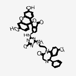 O=C1OC2(c3ccc(O)cc3Oc3cc(O)ccc32)c2cc(Nc3nc(Cl)nc(NCCN4C(=O)CN=C(c5ccccc5)c5cc(Cl)ccc54)n3)ccc21